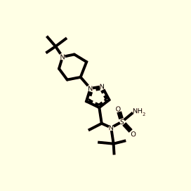 CC(c1cnn(C2CCN(C(C)(C)C)CC2)c1)N(C(C)(C)C)S(N)(=O)=O